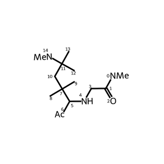 CNC(=O)CNC(C(C)=O)C(C)(C)CC(C)(C)NC